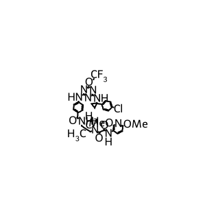 COc1ccc(NC(=O)C(=O)NCC(C)(C)CNC(=O)c2ccc(Nc3nc(NC4(c5ccc(Cl)cc5)CC4)nc(OCC(F)(F)F)n3)cc2)c(OC)n1